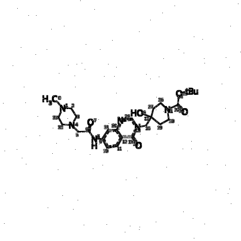 CN1CCN(CC(=O)Nc2ccc3c(=O)n(CC4(O)CCN(C(=O)OC(C)(C)C)CC4)cnc3c2)CC1